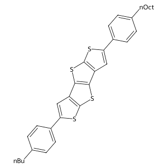 CCCCCCCCc1ccc(-c2cc3c(s2)sc2c4cc(-c5ccc(CCCC)cc5)sc4sc32)cc1